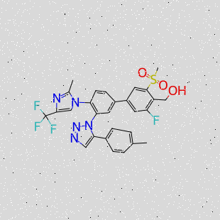 Cc1ccc(-c2cnnn2-c2cc(-c3cc(F)c(CO)c(S(C)(=O)=O)c3)ccc2-n2cc(C(F)(F)F)nc2C)cc1